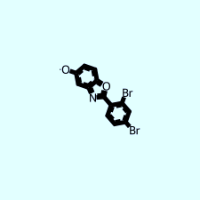 [O]c1ccc2oc(-c3ccc(Br)cc3Br)nc2c1